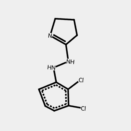 Clc1cccc(NNC2=NCCC2)c1Cl